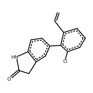 C=Cc1cccc(Cl)c1-c1ccc2c(c1)CC(=O)N2